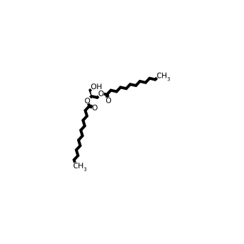 CCCCCCCCCCCCC(=O)O[C@@H](CO)COC(=O)CCCCCCCCCCC